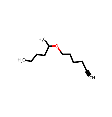 C#CCCCCOC(C)CCC[CH2]